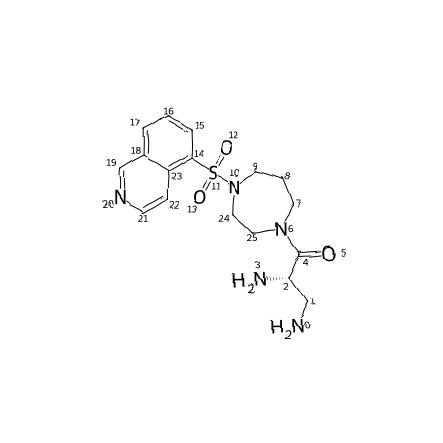 NC[C@H](N)C(=O)N1CCCN(S(=O)(=O)c2cccc3cnccc23)CC1